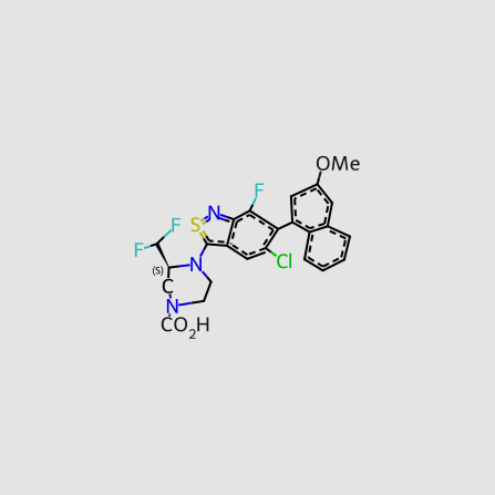 COc1cc(-c2c(Cl)cc3c(N4CCN(C(=O)O)C[C@H]4C(F)F)snc3c2F)c2ccccc2c1